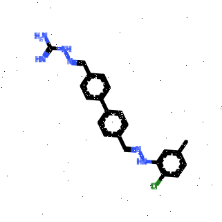 Cc1ccc(Cl)c(N/N=C/c2ccc(-c3ccc(/C=N/NC(=N)N)cc3)cc2)c1